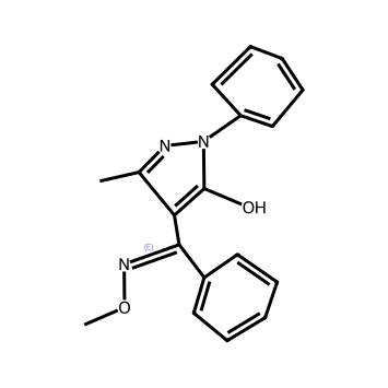 CO/N=C(\c1ccccc1)c1c(C)nn(-c2ccccc2)c1O